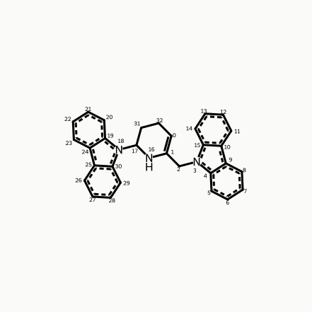 C1=C(Cn2c3ccccc3c3ccccc32)NC(n2c3ccccc3c3ccccc32)CC1